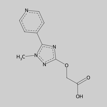 Cn1nc(OCC(=O)O)nc1-c1ccncc1